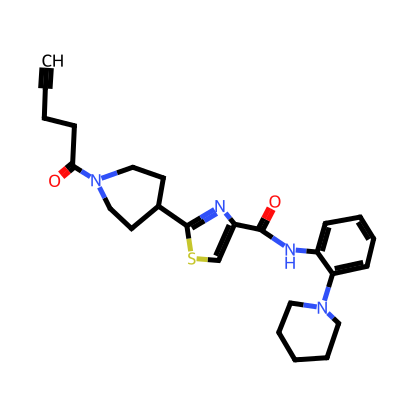 C#CCCC(=O)N1CCC(c2nc(C(=O)Nc3ccccc3N3CCCCC3)cs2)CC1